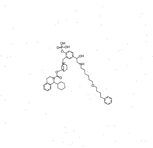 O=C(OC1C[N+]2(Cc3cc(C(O)CNCCCCCCOCCCCc4ccccc4)ccc3OP(=O)(O)O)CCC1CC2)N1CCc2ccccc2C1C1CCCCC1